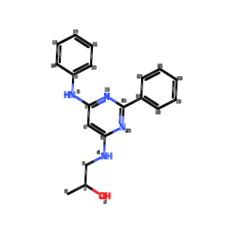 CC(O)CNc1cc(Nc2ccccc2)nc(-c2ccccc2)n1